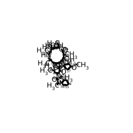 CCOc1cccc(O[C@H]2[C@H](O[C@@H]3[C@@H](C)[C@H](O)[C@@H](C)C(=O)O[C@H](CC)[C@@](C)(O)[C@H](O)[C@@H](C)NC[C@H](C)C[C@@]3(C)O)O[C@H](C)C[C@@H]2N(C)C(=O)N(C)c2ccccc2)c1